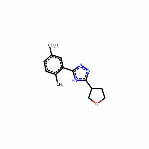 Cc1ccc(C(=O)O)cc1-c1nnc(C2CCOC2)[nH]1